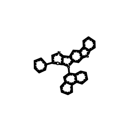 c1ccc(-c2cnc3c4cc5c(cc4n(-c4cc6ccccc6c6ccccc46)c3c2)sc2ccccc25)cc1